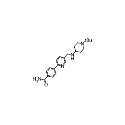 CC(C)(C)N1CCC(NCc2ccc(-c3ccc(C(N)=O)cc3)nc2)CC1